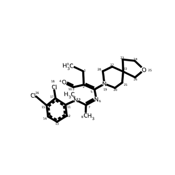 CC/C(C=O)=C(/N=C(/C)N(C)c1cccc(Cl)c1Cl)N1CCC2(CCOC2)CC1